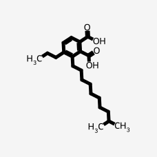 CCCc1ccc(C(=O)O)c(C(=O)O)c1CCCCCCCCC(C)C